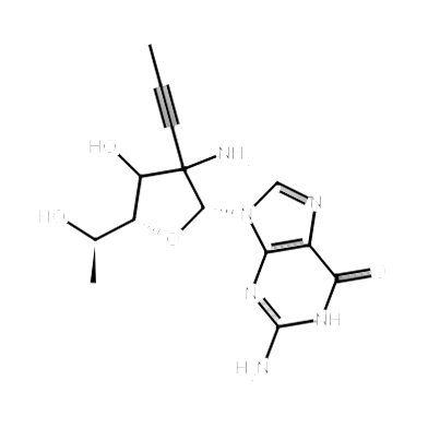 CC#CC1(N)C(O)[C@@H]([C@@H](C)O)O[C@H]1n1cnc2c(=O)[nH]c(N)nc21